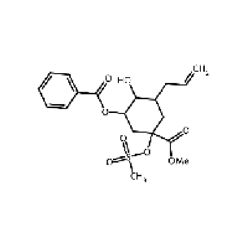 C=CCC1CC(OS(C)(=O)=O)(C(=O)OC)CC(OC(=O)c2ccccc2)C1O